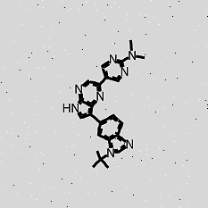 CN(C)c1ncc(-c2cnc3[nH]cc(-c4ccc5ncn(C(C)(C)C)c5c4)c3n2)cn1